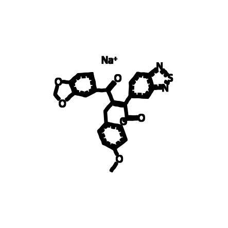 COc1ccc(C/C(C(=O)c2ccc3c(c2)OCO3)=C(\C(=O)[O-])c2ccc3nsnc3c2)cc1.[Na+]